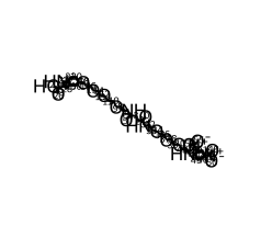 O=C(CCC(=O)NCCOCCOCCOCCOc1ccc2[nH]c(C(=O)O)cc2c1)NCCOCCOCCOCCNc1ccc([N+](=O)[O-])cc1[N+](=O)[O-]